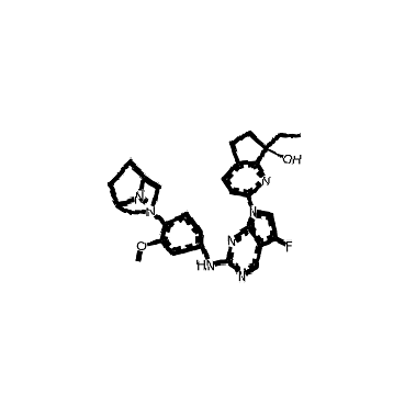 CC[C@@]1(O)CCc2ccc(-n3cc(F)c4cnc(Nc5ccc(N6CC7CCC(C6)N7C)c(OC)c5)nc43)nc21